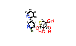 O[C@@H]1[C@@H](O)[C@@H](Oc2cc(-c3ccccn3)cnc2F)SC[C@H]1O